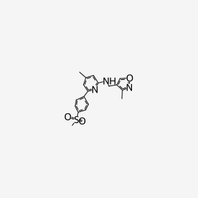 Cc1cc(NCc2conc2C)nc(-c2ccc(S(C)(=O)=O)cc2)c1